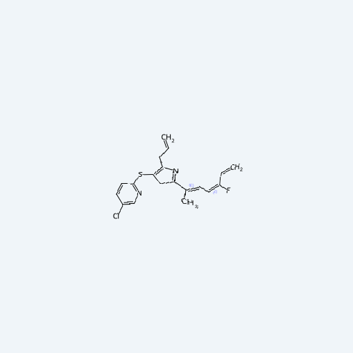 C=CCC1=C(Sc2ccc(Cl)cn2)CC(/C(C)=C/C=C(/F)C=C)=N1